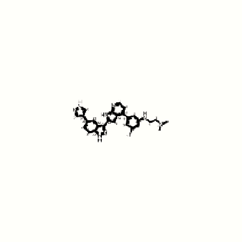 CN(C)CCNc1cc(F)cc(-c2ccnc3[nH]c(-c4n[nH]c5ccc(-c6cn[nH]c6)cc45)cc23)c1